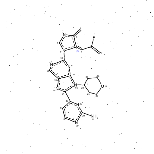 C=C(F)/C=c1\c(=C)ncn1-c1ncc2nc(-c3ccnc(N)n3)n(C3CCOCC3)c2n1